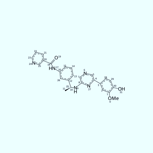 COc1cc(-c2cncc(N[C@@H](C)c3cccc(NC(=O)c4cccnc4)c3)n2)ccc1O